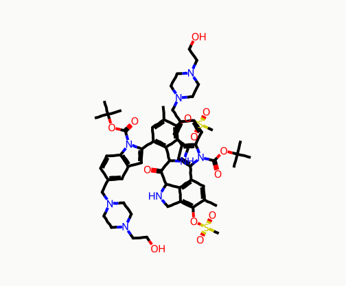 Cc1cc(-c2cc3cc(CN4CCN(CCO)CC4)ccc3n2C(=O)OC(C)(C)C)c2c(c1OS(C)(=O)=O)CNC2C(=O)C1NCc2c(OS(C)(=O)=O)c(C)cc(-c3cc4cc(CN5CCN(CCO)CC5)ccc4n3C(=O)OC(C)(C)C)c21